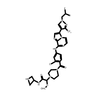 O=COC(C(=O)NC1CNC1)N1CCN(C(=O)c2ccc(Nc3nccn4c(-c5cn(CC(F)F)nc5C(F)(F)F)cnc34)cc2Cl)CC1